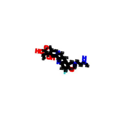 CC[C@]1(O)C2=C(COC1O)CN1Cc3cc4c5c(c(F)cc4nc3C1=C2)OCN(CCNC)C5